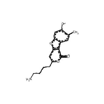 Cc1cc2c(cc1O)oc1cc(CCCCN)oc(=O)c12